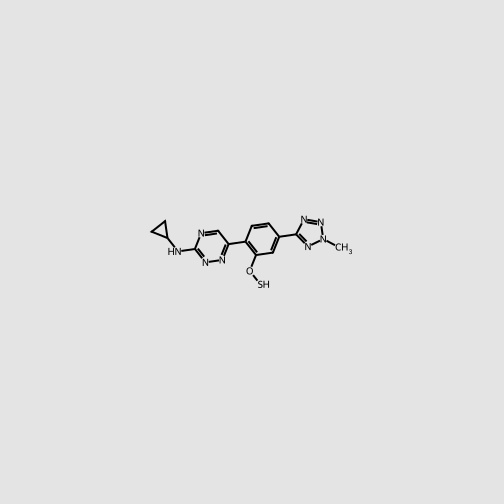 Cn1nnc(-c2ccc(-c3cnc(NC4CC4)nn3)c(OS)c2)n1